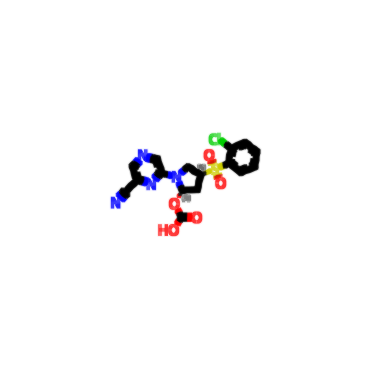 N#Cc1cncc(N2C[C@@H](S(=O)(=O)c3ccccc3Cl)C[C@@H]2OC(=O)O)n1